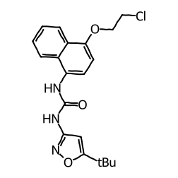 CC(C)(C)c1cc(NC(=O)Nc2ccc(OCCCl)c3ccccc23)no1